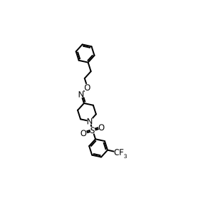 O=S(=O)(c1cccc(C(F)(F)F)c1)N1CCC(=NOCCc2ccccc2)CC1